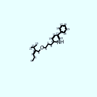 CC/C=C(\COCCCC1C=CC(c2ccccc2)=CN1)C(C)C